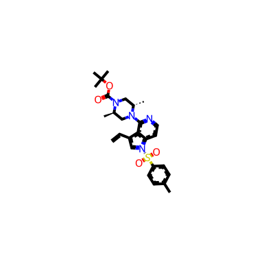 C=Cc1cn(S(=O)(=O)c2ccc(C)cc2)c2ccnc(N3C[C@@H](C)N(C(=O)OC(C)(C)C)C[C@@H]3C)c12